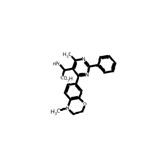 CCCC(C(=O)O)c1c(C)nc(-c2ccccc2)nc1-c1ccc2c(c1)OCCN2C